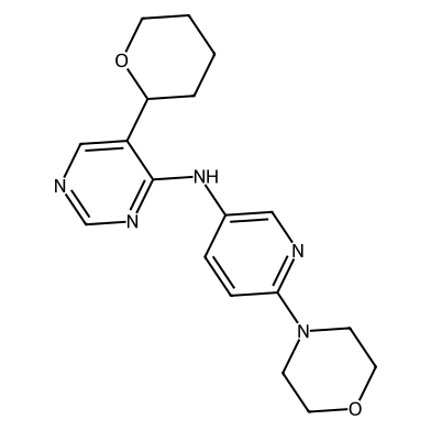 c1ncc(C2CCCCO2)c(Nc2ccc(N3CCOCC3)nc2)n1